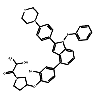 CC(O)C(=O)N1CCC(Oc2ccc(-c3ccnc4c3cc(-c3ccc(N5CCOCC5)cc3)n4Sc3ccccc3)cc2C#N)C1